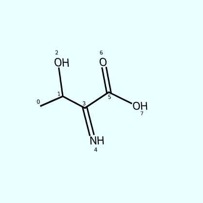 CC(O)C(=N)C(=O)O